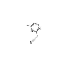 Cc1ccnc(CC#N)n1